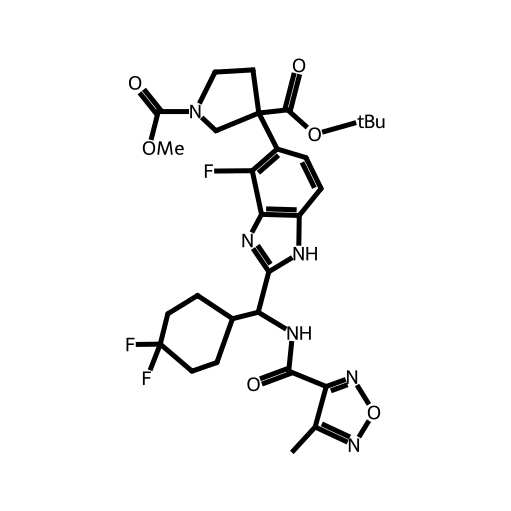 COC(=O)N1CCC(C(=O)OC(C)(C)C)(c2ccc3[nH]c(C(NC(=O)c4nonc4C)C4CCC(F)(F)CC4)nc3c2F)C1